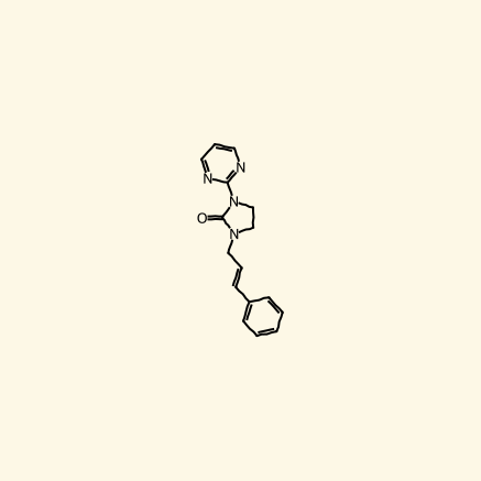 O=C1N(C/C=C/c2ccccc2)CCN1c1ncccn1